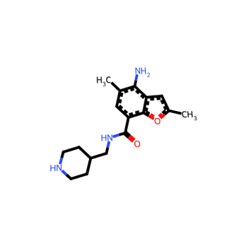 Cc1cc2c(N)c(C)cc(C(=O)NCC3CCNCC3)c2o1